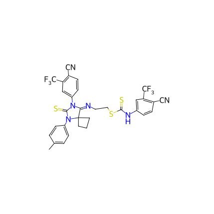 Cc1ccc(N2C(=S)N(c3ccc(C#N)c(C(F)(F)F)c3)/C(=N/CCSC(=S)Nc3ccc(C#N)c(C(F)(F)F)c3)C23CCC3)cc1